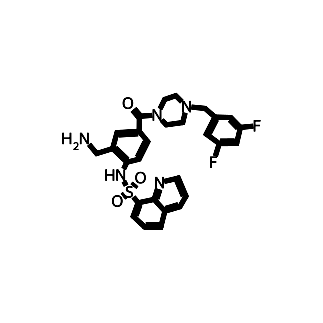 NCc1cc(C(=O)N2CCN(Cc3cc(F)cc(F)c3)CC2)ccc1NS(=O)(=O)c1cccc2cccnc12